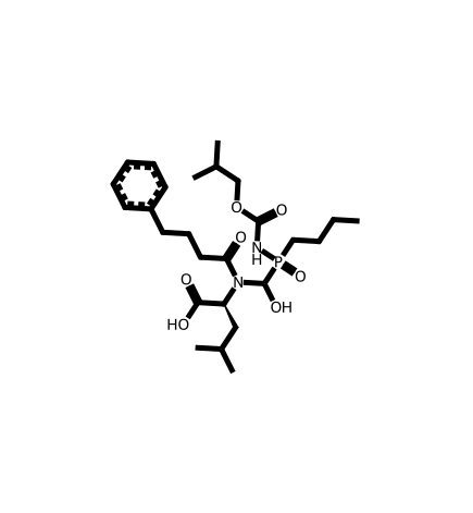 CCCCP(=O)(NC(=O)OCC(C)C)C(O)N(C(=O)CCCc1ccccc1)[C@@H](CC(C)C)C(=O)O